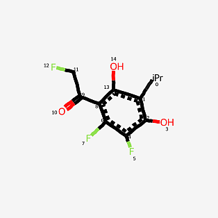 CC(C)c1c(O)c(F)c(F)c(C(=O)CF)c1O